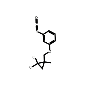 CC1(COc2cccc(N=C=O)c2)CC1(Cl)Cl